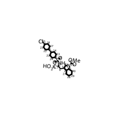 COC(=O)n1cc(C[C@@H](NS(=O)(=O)c2ccc(-c3ccc(Cl)cc3)cc2)C(=O)O)c2ccccc21